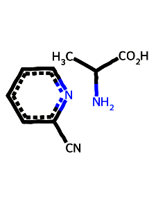 CC(N)C(=O)O.N#Cc1ccccn1